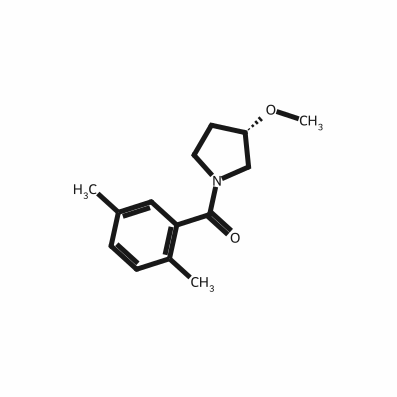 CO[C@H]1CCN(C(=O)c2cc(C)ccc2C)C1